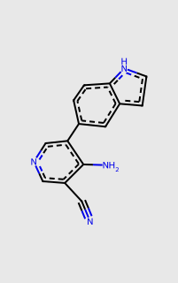 N#Cc1cncc(-c2ccc3[nH]ccc3c2)c1N